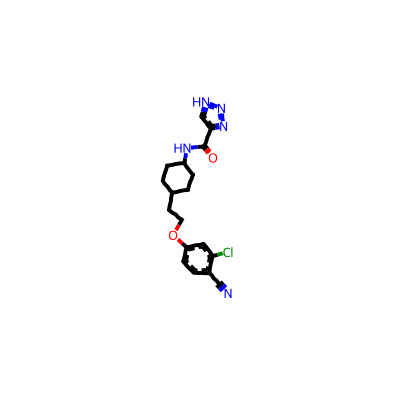 N#Cc1ccc(OCCC2CCC(NC(=O)c3c[nH]nn3)CC2)cc1Cl